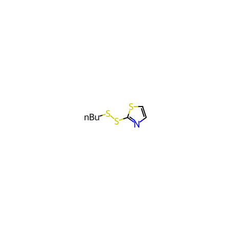 CCCCSSc1nccs1